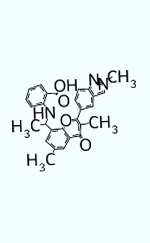 Cc1cc(C(C)Nc2ccccc2C(=O)O)c2oc(-c3ccc4nn(C)cc4c3)c(C)c(=O)c2c1